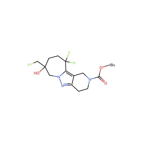 CC(C)(C)OC(=O)N1CCc2nn3c(c2C1)C(F)(F)CCC(O)(CF)C3